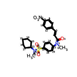 CN(C(=O)C=Cc1ccc([N+](=O)[O-])cc1)c1ccc(S(=O)(=O)N(C)C2CCCCC2)cc1